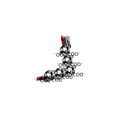 N.N.N.N.N.O=C([O-])C[N+]1(CC(=O)[O-])CC(=O)OCCOC(=O)C1.O=C([O-])C[N+]1(CC(=O)[O-])CC(=O)OCCOC(=O)C1.O=C([O-])C[N+]1(CC(=O)[O-])CC(=O)OCCOC(=O)C1.O=C([O-])C[N+]1(CC(=O)[O-])CC(=O)OCCOC(=O)C1.O=C([O-])C[N+]1(CC(=O)[O-])CC(=O)OCCOC(=O)C1.[Fe+3].[Fe+3].[NH4+].[NH4+].[NH4+].[NH4+]